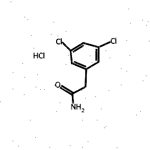 Cl.NC(=O)Cc1cc(Cl)cc(Cl)c1